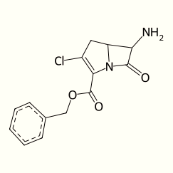 NC1C(=O)N2C(C(=O)OCc3ccccc3)=C(Cl)CC12